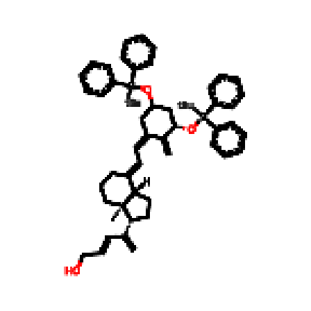 C=C1/C(=C\C=C2/CCC[C@]3(C)[C@@H](C(=C)/C=C/CO)CC[C@@H]23)C[C@@H](O[Si](c2ccccc2)(c2ccccc2)C(C)(C)C)C[C@@H]1O[Si](c1ccccc1)(c1ccccc1)C(C)(C)C